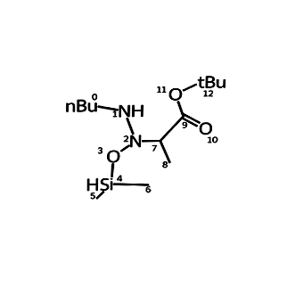 CCCCNN(O[SiH](C)C)C(C)C(=O)OC(C)(C)C